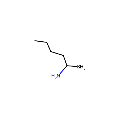 BC(N)CCCC